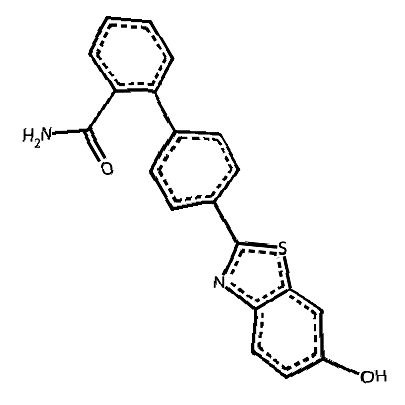 NC(=O)c1ccccc1-c1ccc(-c2nc3ccc(O)cc3s2)cc1